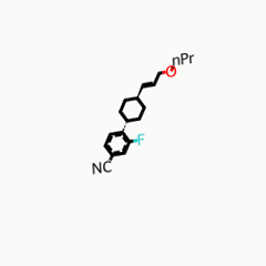 CCCOCC=C[C@H]1CC[C@H](c2ccc(C#N)cc2F)CC1